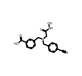 N#Cc1ccc(CN(CC(=O)NO)Cc2cccc(C(=O)O)c2)cc1